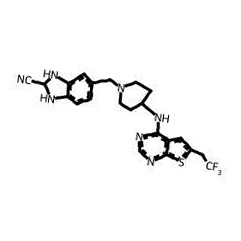 N#CC1Nc2ccc(CN3CCC(Nc4ncnc5sc(CC(F)(F)F)cc45)CC3)cc2N1